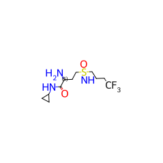 N=S(=O)(CCCC(F)(F)F)CC[C@H](N)C(=O)NC1CC1